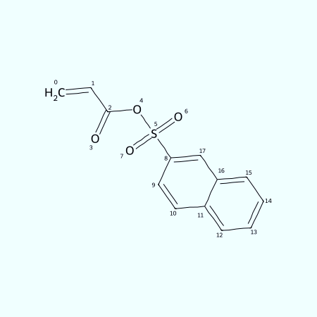 C=CC(=O)OS(=O)(=O)c1ccc2ccccc2c1